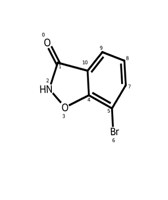 O=c1[nH]oc2c(Br)cccc12